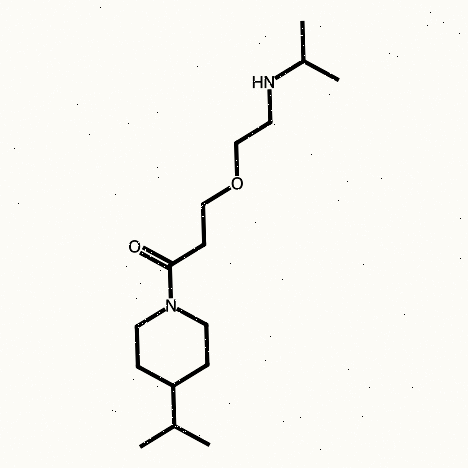 CC(C)NCCOCCC(=O)N1CCC(C(C)C)CC1